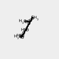 COCCOCC(COCCCCCCC(=O)NCCCOCCOP(=O)(O)OC)OCCOC